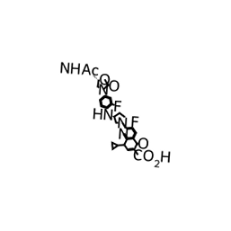 CC(=O)NC[C@H]1CN(c2ccc(N[C@@H]3CCN(c4nc5c(cc4F)C(=O)C(C(=O)O)=CC5C4CC4)C3)c(F)c2)C(=O)O1